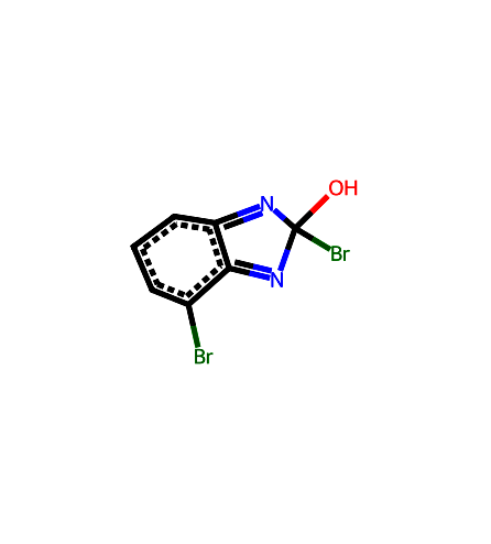 OC1(Br)N=c2cccc(Br)c2=N1